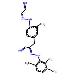 Cc1cc(C/C(C=N)=N\Nc2c(C)ccc(C)c2C)ccc1N/N=C\C=N